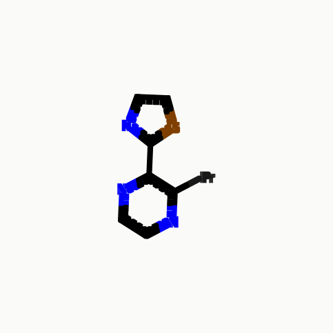 CC(C)c1nccnc1-c1nccs1